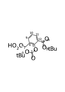 CC(C)(C)OC(=O)Oc1c(CC(=O)O)cccc1C(=O)OC(C)(C)C